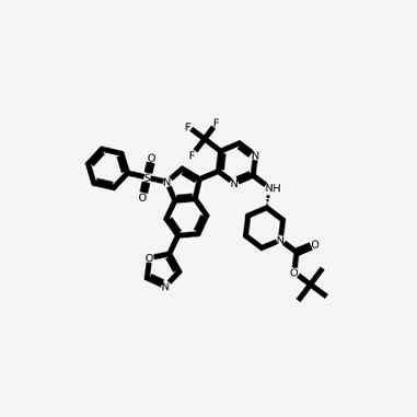 CC(C)(C)OC(=O)N1CCC[C@H](Nc2ncc(C(F)(F)F)c(-c3cn(S(=O)(=O)c4ccccc4)c4cc(-c5cnco5)ccc34)n2)C1